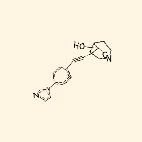 OC1(C#Cc2ccc(-n3ccnc3)cc2)CN2CCC1CC2